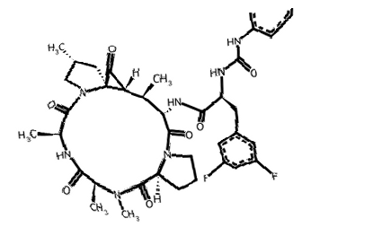 Cc1ccc(NC(=O)N[C@@H](Cc2cc(F)cc(F)c2)C(=O)N[C@@H]2C(=O)N3CCC[C@H]3C(=O)N(C)[C@@H](C)C(=O)N[C@@H](C)C(=O)N3C[C@H](C)C[C@@]34C(=O)[C@@H]4[C@H]2C)cc1